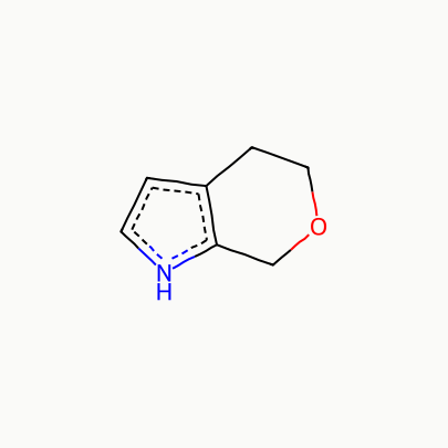 c1cc2c([nH]1)COCC2